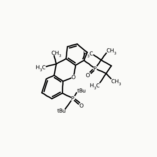 CC1(C)c2cccc(P(=O)(C(C)(C)C)C(C)(C)C)c2Oc2c1cccc2P1(=O)C(C)(C)CC1(C)C